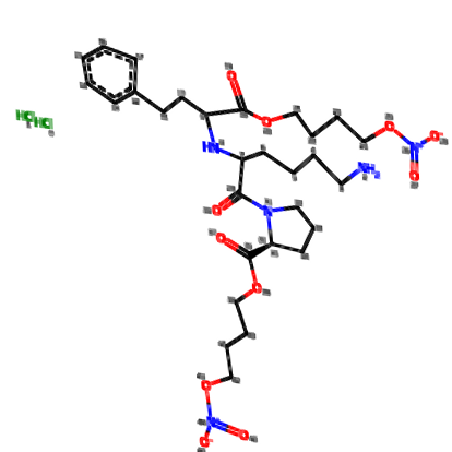 Cl.Cl.NCCCCC(NC(CCc1ccccc1)C(=O)OCCCCO[N+](=O)[O-])C(=O)N1CCC[C@H]1C(=O)OCCCCO[N+](=O)[O-]